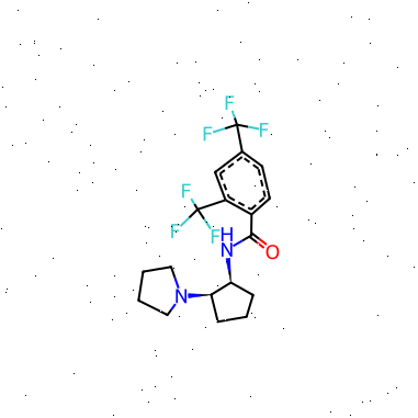 O=C(N[C@H]1CCC[C@H]1N1CCCC1)c1ccc(C(F)(F)F)cc1C(F)(F)F